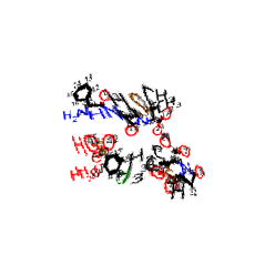 CC1(C)S[C@@H]2[C@H](NC(=O)[C@H](N)c3ccccc3)C(=O)N2[C@H]1C(=O)OCOC(=O)[C@@H]1N2C(=O)C[C@H]2S(=O)(=O)C1(C)C.O.O.O=S(=O)(O)c1ccc(Cl)cc1